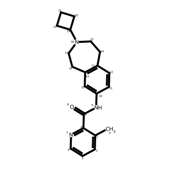 Cc1cccnc1C(=O)Nc1ccc2c(c1)CCN(C1CCC1)CC2